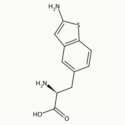 Nc1cc2cc(C[C@H](N)C(=O)O)ccc2s1